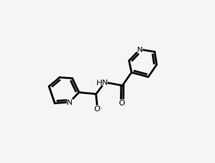 [O]C(NC(=O)c1cccnc1)c1ccccn1